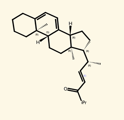 CC(C)C(=O)/C=C/[C@@H](C)[C@H]1CC[C@H]2C3=CC=C4CCCC[C@]4(C)[C@H]3CC[C@]12C